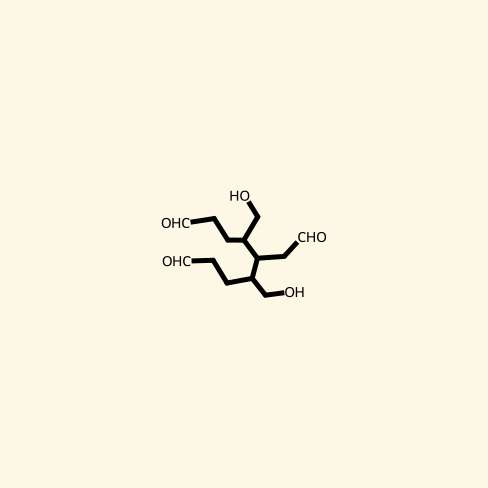 O=CCCC(CO)C(CC=O)C(CO)CCC=O